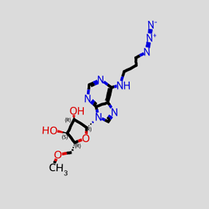 COC[C@H]1O[C@@H](n2cnc3c(NCCCN=[N+]=[N-])ncnc32)[C@H](O)[C@@H]1O